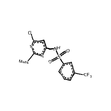 CNc1nc(Cl)cc(NS(=O)(=O)c2cccc(C(F)(F)F)c2)n1